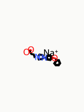 O=C([O-])CCCN1CCN(c2ccc(Oc3ccccc3)cc2)CC1.[Na+]